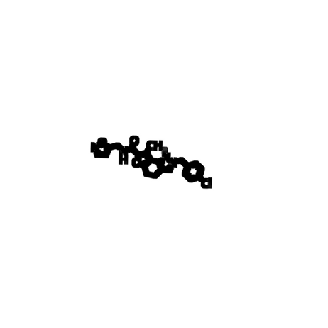 Cc1c(C(=O)NCc2ccno2)oc2c1-c1nn(Cc3ccc(Cl)cc3)cc1CC2